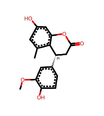 COc1cc([C@H]2CC(=O)Oc3cc(O)cc(C)c32)ccc1O